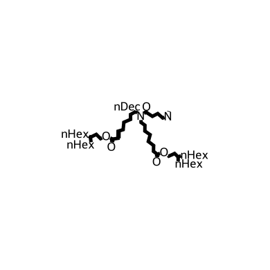 CCCCCCCCCCC(CCCCC=CC(=O)OCCC(CCCCCC)CCCCCC)N(CCCCCCCC(=O)OCCC(CCCCCC)CCCCCC)C(=O)CCCN(C)C